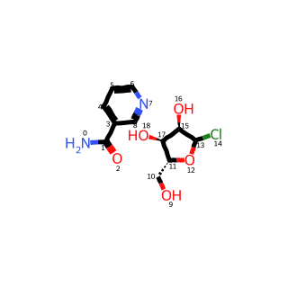 NC(=O)c1cccnc1.OC[C@H]1OC(Cl)[C@H](O)[C@@H]1O